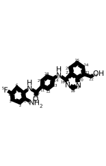 Nc1ccc(F)cc1NC(=O)c1ccc(Nc2ncnc3c(CO)cccc23)cc1